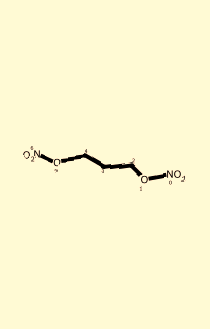 O=[N+]([O-])OC[CH]CO[N+](=O)[O-]